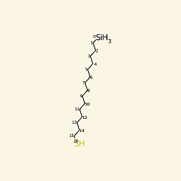 [SiH3]CCCCCCCCCCCCCCCS